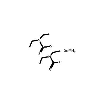 CCN(CC)C(=S)[S-].CCN(CC)C(=S)[S-].[SnH2+2]